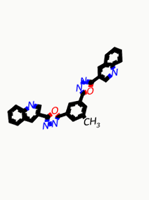 Cc1cc(-c2nnc(-c3cnc4ccccc4c3)o2)cc(-c2nnc(-c3cnc4ccccc4c3)o2)c1